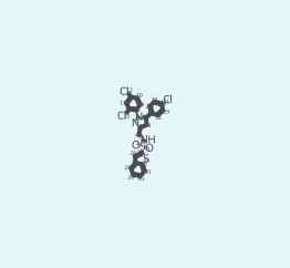 O=S(=O)(NCC1=NN(c2ccc(Cl)cc2Cl)C(c2ccc(Cl)cc2)C1)c1cc2ccccc2s1